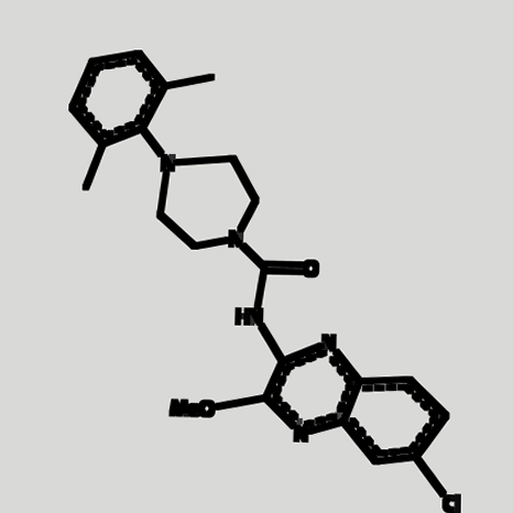 COc1nc2cc(Cl)ccc2nc1NC(=O)N1CCN(c2c(C)cccc2C)CC1